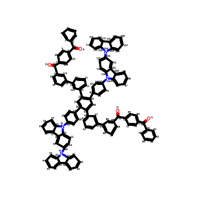 O=C(c1ccccc1)c1ccc(C(=O)c2cccc(-c3cccc(-c4cc(-c5ccc(-n6c7ccccc7c7cc(-n8c9ccccc9c9ccccc98)ccc76)cc5)c(-c5cccc(-c6cccc(C(=O)c7ccc(C(=O)c8ccccc8)cc7)c6)c5)cc4-c4ccc(-n5c6ccccc6c6cc(-n7c8ccccc8c8ccccc87)ccc65)cc4)c3)c2)cc1